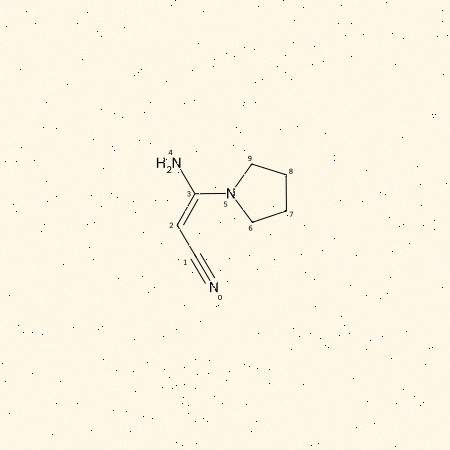 N#C/C=C(/N)N1CCCC1